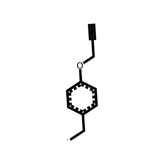 C#CCOc1ccc(C[CH2])cc1